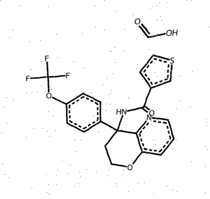 O=C(NC1(c2ccc(OC(F)(F)F)cc2)CCOc2cccnc21)c1ccsc1.O=CO